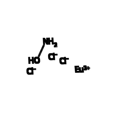 NO.[Cl-].[Cl-].[Cl-].[Eu+3]